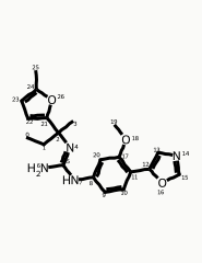 CCC(C)(N=C(N)Nc1ccc(-c2cnco2)c(OC)c1)c1ccc(C)o1